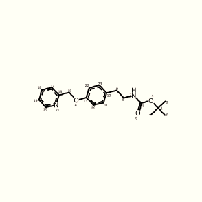 CC(C)(C)OC(=O)NCCc1ccc(OCc2ccccn2)cc1